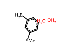 Bc1cccc(SC)c1.O.O